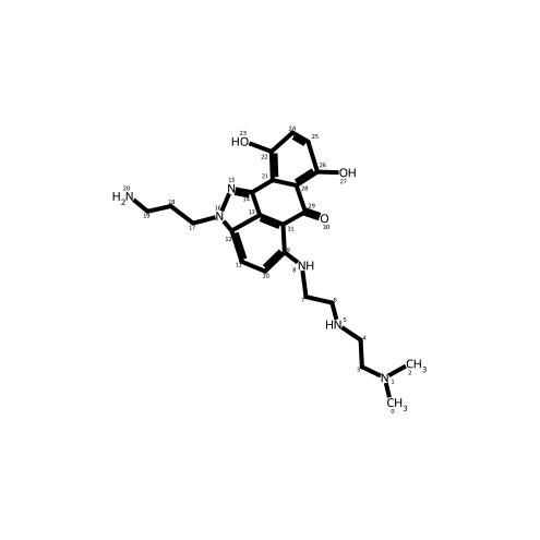 CN(C)CCNCCNc1ccc2c3c(nn2CCCN)-c2c(O)ccc(O)c2C(=O)c13